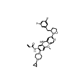 C=CC(=O)Nc1cc(Nc2cc(N3OCCC3Cc3cc(F)cc(F)c3)ncn2)c(OC)cc1N1CCN(C2CC2)CC1